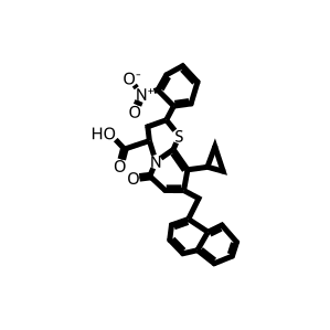 O=C(O)C1CC(c2ccccc2[N+](=O)[O-])Sc2c(C3CC3)c(Cc3cccc4ccccc34)cc(=O)n21